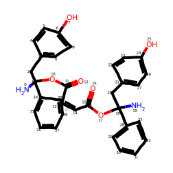 NC(Cc1ccc(O)cc1)(OC(=O)/C=C\C(=O)OC(N)(Cc1ccc(O)cc1)c1ccccc1)c1ccccc1